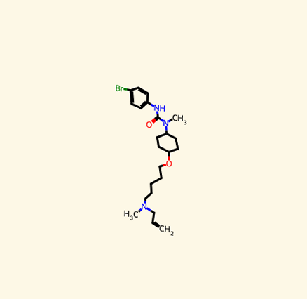 C=CCN(C)CCCCCOC1CCC(N(C)C(=O)Nc2ccc(Br)cc2)CC1